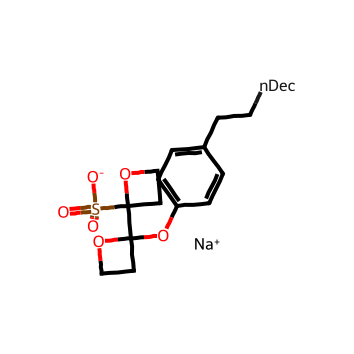 CCCCCCCCCCCCc1ccc(OC2(C3(S(=O)(=O)[O-])CCO3)CCO2)cc1.[Na+]